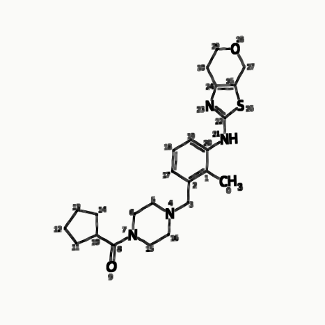 Cc1c(CN2CCN(C(=O)C3CCCC3)CC2)cccc1Nc1nc2c(s1)COCC2